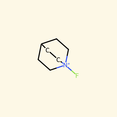 F[N+]12CCC(CC1)CC2